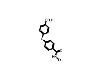 CCNC(=O)c1ccc(Oc2ccc(C(=O)O)cc2)cc1